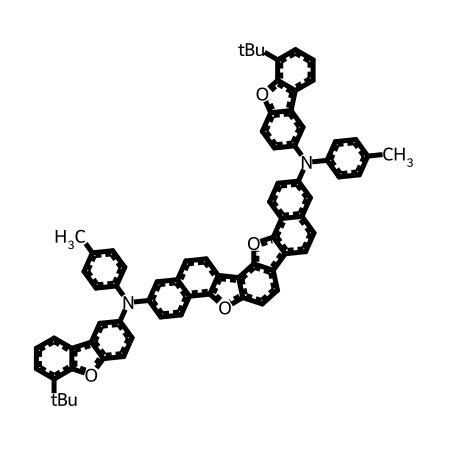 Cc1ccc(N(c2ccc3c(ccc4c5ccc6oc7c8ccc(N(c9ccc(C)cc9)c9ccc%10oc%11c(C(C)(C)C)cccc%11c%10c9)cc8ccc7c6c5oc34)c2)c2ccc3oc4c(C(C)(C)C)cccc4c3c2)cc1